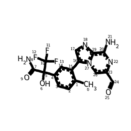 Cc1ccc(C(O)(C(N)=O)C(F)(F)F)cc1-c1cnc2c(N)nc(C=O)cn12